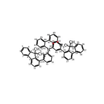 CC1(C)c2ccccc2-c2cccc(-c3cccc(N(c4cccc(-c5cccc6c5C(C)(C)c5ccccc5-6)c4)c4ccccc4-c4ccccc4)c3)c21